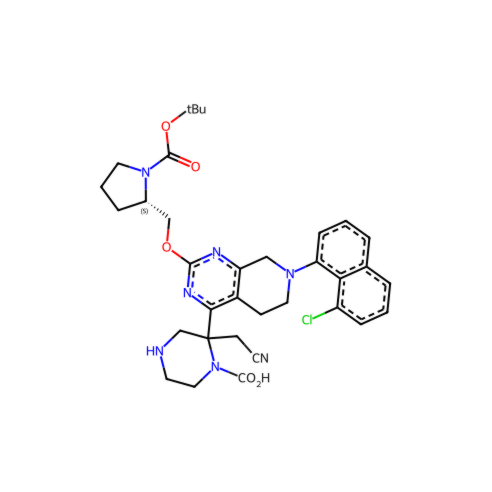 CC(C)(C)OC(=O)N1CCC[C@H]1COc1nc2c(c(C3(CC#N)CNCCN3C(=O)O)n1)CCN(c1cccc3cccc(Cl)c13)C2